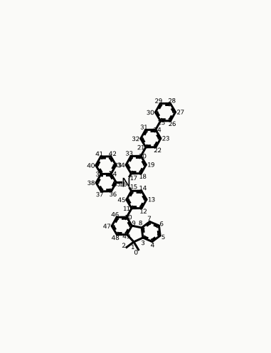 CC1(C)c2ccccc2-c2c(-c3cccc(N(c4ccc(-c5ccc(-c6ccccc6)cc5)cc4)c4cccc5ccccc45)c3)cccc21